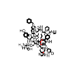 CCNC(=O)[C@@H]1CCCN1C(=O)[C@H](CCCNC(=N)N)NC(=O)[C@H](CC(C)C)NC(=O)[C@@H](Cc1cn(Cc2ccccc2)cn1)NC(=O)[C@H](Cc1ccc(O)cc1)NC(=O)[C@H](CO)NC(=O)[C@H](Cc1c[nH]c2ccccc12)NC(=O)[C@H](Cc1c[nH]cn1)NC(=O)[C@@H]1CCC(=O)N1.NC(=O)NO